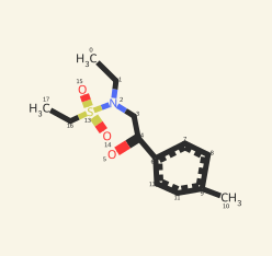 CCN(CC(=O)c1ccc(C)cc1)S(=O)(=O)CC